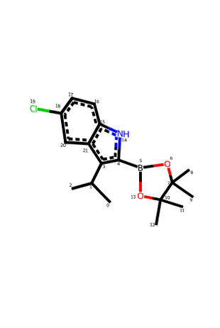 CC(C)c1c(B2OC(C)(C)C(C)(C)O2)[nH]c2ccc(Cl)cc12